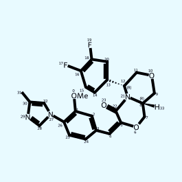 COc1cc(C=C2OC[C@H]3COC[C@@H](c4ccc(F)c(F)c4)N3C2=O)ccc1-n1cnc(C)c1